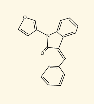 O=C1/C(=C\c2ccccc2)c2ccccc2N1c1ccoc1